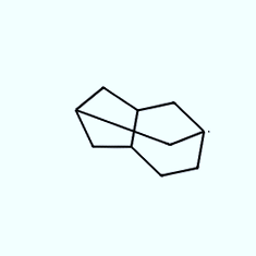 C1CC2CC3C[C]1CC2C3